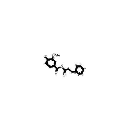 COc1cc(C(=O)OC(=O)CCc2ccccc2)ccc1C